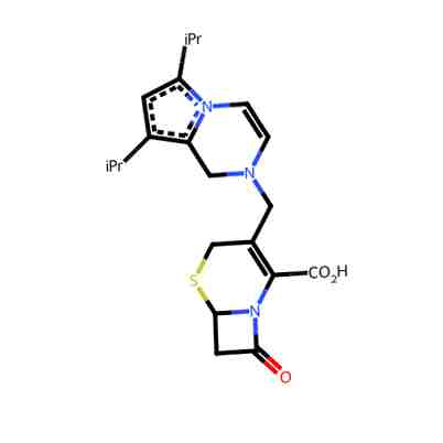 CC(C)c1cc(C(C)C)n2c1CN(CC1=C(C(=O)O)N3C(=O)CC3SC1)C=C2